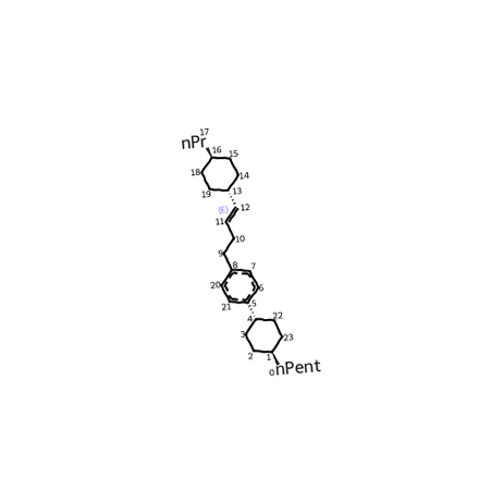 CCCCC[C@H]1CC[C@H](c2ccc(CC/C=C/[C@H]3CC[C@H](CCC)CC3)cc2)CC1